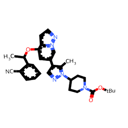 Cc1c(-c2cc(OC(C)c3ccccc3C#N)c3ccnn3c2)cnn1C1CCN(C(=O)OC(C)(C)C)CC1